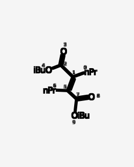 CCCC(C(=O)OCC(C)C)=C(CCC)C(=O)OCC(C)C